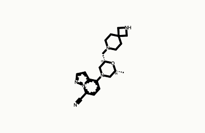 C[C@@H]1CN(c2ccc(C#N)n3nccc23)C[C@H](CN2CCC3(CC2)CNC3)O1